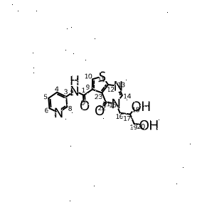 O=C(Nc1cccnc1)c1csc2ncn(CC(O)CO)c(=O)c12